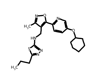 CCCc1nnc(NCc2c(C)noc2-c2ccc(OC3CCCCC3)cn2)s1